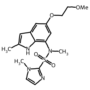 COCCOc1cc(N(C)S(=O)(=O)c2nccn2C)c2[nH]c(C)cc2c1